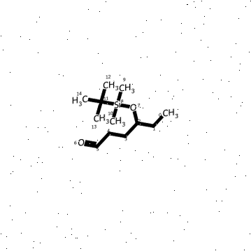 CCC(CCC=O)O[Si](C)(C)C(C)(C)C